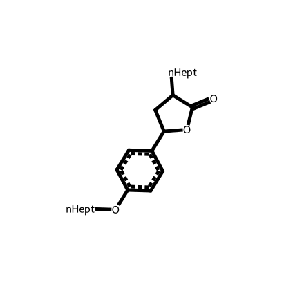 CCCCCCCOc1ccc(C2CC(CCCCCCC)C(=O)O2)cc1